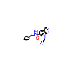 N#CCn1c2cnccc2c2ccc(C(=O)NCCc3ccccc3)cc21